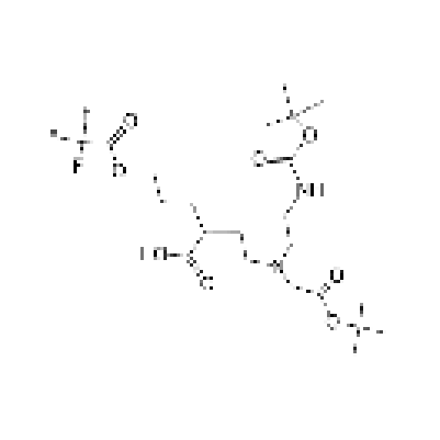 CC(C)(C)OC(=O)CN(CCNC(=O)OC(C)(C)C)CCC(CCCOC(=O)C(F)(F)F)C(=O)O